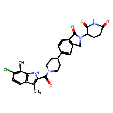 Cc1c(C(=O)N2CCC(c3ccc4c(c3)CN(C3CCC(=O)NC3=O)C4=O)CC2)[nH]c2c(C)c(Cl)ccc12